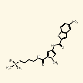 Cn1cc(NC(=O)c2cc3cc([N+](=O)[O-])ccc3s2)cc1C(=O)NCCCO[Si](C)(C)C(C)(C)C